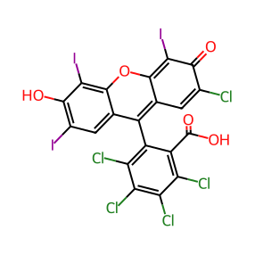 O=C(O)c1c(Cl)c(Cl)c(Cl)c(Cl)c1-c1c2cc(Cl)c(=O)c(I)c-2oc2c(I)c(O)c(I)cc12